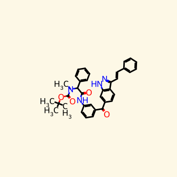 CN(C(=O)OC(C)(C)C)C(C(=O)Nc1cccc(C(=O)c2ccc3c(/C=C/c4ccccc4)n[nH]c3c2)c1)c1ccccc1